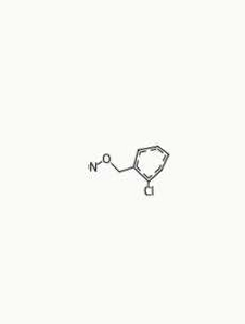 [N]OCc1ccccc1Cl